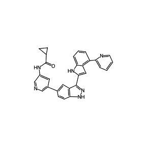 O=C(Nc1cncc(-c2ccc3[nH]nc(-c4cc5c(-c6ccccn6)cccc5[nH]4)c3c2)c1)C1CC1